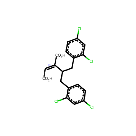 O=C(O)/C=C(/C(=O)O)C(Cc1ccc(Cl)cc1Cl)Cc1ccc(Cl)cc1Cl